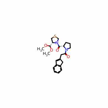 COC(OC)[C@@H]1CSCN1C(=O)[C@@H]1CCCN1C(=O)CC1=Cc2ccccc2C1